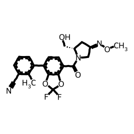 CO/N=C1/C[C@@H](CO)N(C(=O)c2ccc(-c3cccc(C#N)c3C)c3c2OC(F)(F)O3)C1